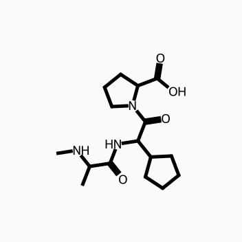 CNC(C)C(=O)NC(C(=O)N1CCCC1C(=O)O)C1CCCC1